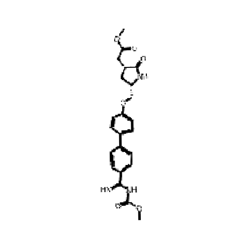 COC(=O)C[C@@H]1C[C@@H](COc2ccc(-c3ccc(C(=N)NC(=O)OC)cc3)cc2)NC1=O